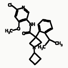 COc1cc(Cl)ncc1NC(=O)C1(c2ccccc2C(C)C)CN(C2CCC2)C1